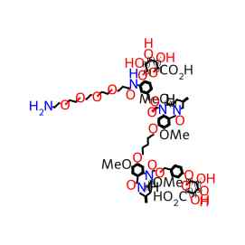 C=C1C[C@H]2[C@H](OC)N(C(=O)OCc3ccc(O[C@@H]4O[C@H](C(=O)O)[C@@H](O)[C@H](O)[C@H]4O)cc3)c3cc(OCCCCCOc4cc5c(cc4OC)C(=O)N4CC(=C)C[C@H]4[C@H](OC)N5C(=O)OCc4ccc(O[C@@H]5O[C@H](C(=O)O)[C@@H](O)[C@H](O)[C@H]5O)c(NC(=O)CCOCCOCCOCCOCCN)c4)c(OC)cc3C(=O)N2C1